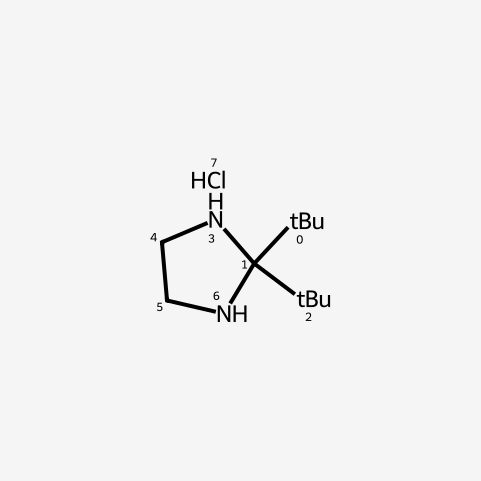 CC(C)(C)C1(C(C)(C)C)NCCN1.Cl